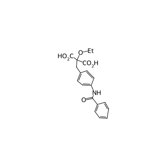 CCOC(Cc1ccc(NC(=O)c2ccccc2)cc1)(C(=O)O)C(=O)O